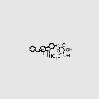 Cc1c2[nH]c3cc(O[C@@H]4OC(C(=O)O)[C@@H](O)C(O)C4O)ccc3c2cc[n+]1Cc1ccccc1